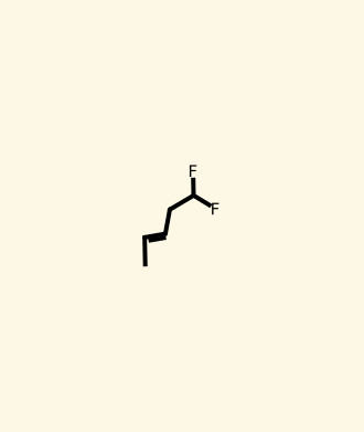 C/C=C/CC(F)F